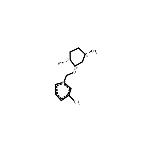 Cc1ccc[n+](CO[C@H]2C[C@@H](C)CC[C@H]2C(C)C)c1